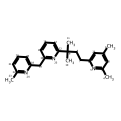 Cc1cc(C)nc(CCC(C)(C)c2cccc(Cc3cccc(C)n3)n2)c1